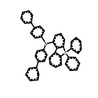 c1ccc(-c2ccc(N(c3ccc(-c4ccccc4)cc3)c3cccc4c3-c3ccccc3S4(c3ccccc3)c3ccccc3)cc2)cc1